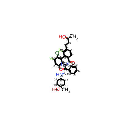 C[C@H](O)CCc1ccc(C(N)=O)c(-c2c(Cl)c(F)cc3c2[C@H](C)[C@@](CN[C@H]2CC[C@@](C)(O)CC2)(c2ccccc2)O3)c1F